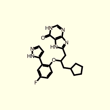 O=c1[nH]cnc2nc(CC(CC3CCCC3)Oc3ccc(F)cc3-c3ccn[nH]3)[nH]c12